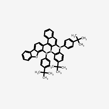 CC(C)(C)c1ccc(N2B3c4cc(C(C)(C)C)ccc4N(c4ccc(C(C)(C)C)cc4)c4cc5ccccc5c(c43)-c3ccc4c(oc5ccccc54)c32)cc1